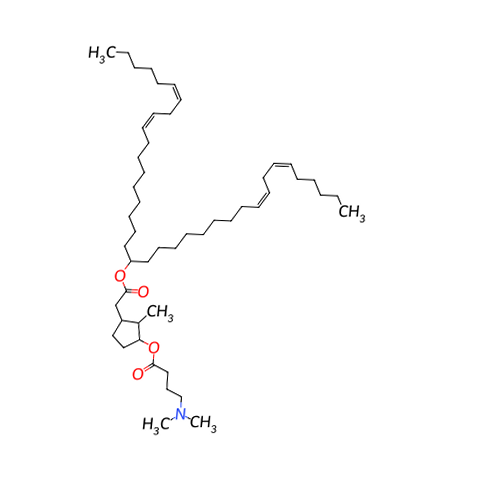 CCCCC/C=C\C/C=C\CCCCCCCCC(CCCCCCCC/C=C\C/C=C\CCCCC)OC(=O)CC1CCC(OC(=O)CCCN(C)C)C1C